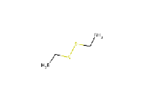 BCSSCB